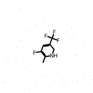 CC1=C(F)C=C(C(F)(F)F)CN1